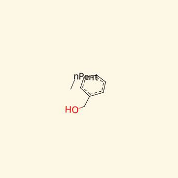 CCCCCC.OCc1ccccc1